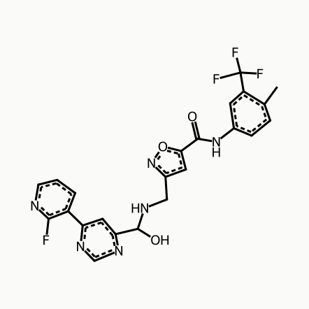 Cc1ccc(NC(=O)c2cc(CNC(O)c3cc(-c4cccnc4F)ncn3)no2)cc1C(F)(F)F